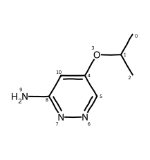 CC(C)Oc1cnnc(N)c1